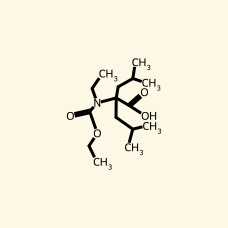 CCOC(=O)N(CC)C(CC(C)C)(CC(C)C)C(=O)O